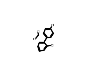 ClCCl.Clc1ccc(-c2ccccc2Cl)cc1